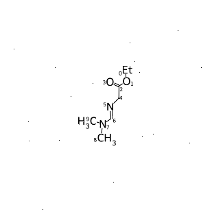 CCOC(=O)CN=CN(C)C